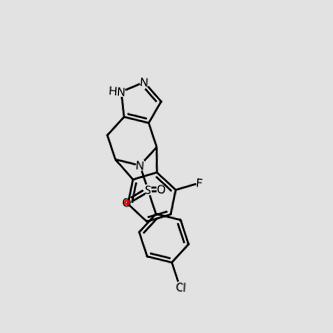 O=S(=O)(c1ccc(Cl)cc1)N1C2Cc3[nH]ncc3C1c1c(F)cccc12